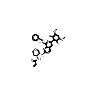 C=CC(=O)N[C@H]1CCOC[C@H]1Nc1ncc2cc(-c3c(Cl)c(OC)cc(OC)c3Cl)nc(NCc3ccccc3)c2n1